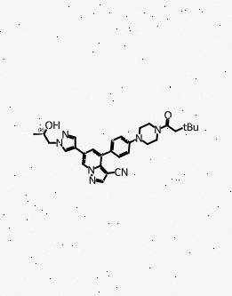 C[C@@H](O)Cn1cc(-c2cc(-c3ccc(N4CCN(C(=O)CC(C)(C)C)CC4)cc3)c3c(C#N)cnn3c2)cn1